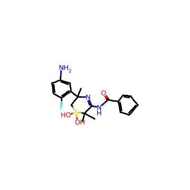 CC1(c2cc(N)ccc2F)CS(O)(O)C(C)(C)C(NC(=O)c2ccccc2)=N1